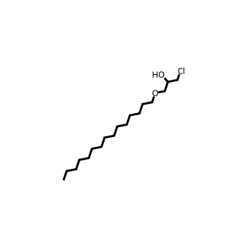 CCCCCCCCCCCCCCCOCC(O)CCl